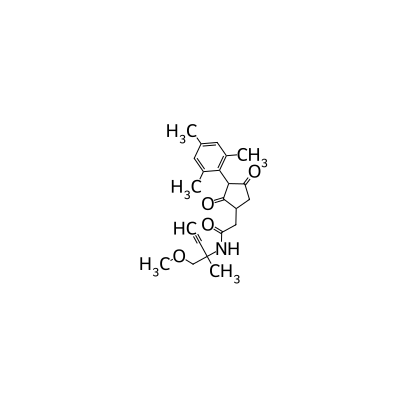 C#CC(C)(COC)NC(=O)CC1CC(=O)C(c2c(C)cc(C)cc2C)C1=O